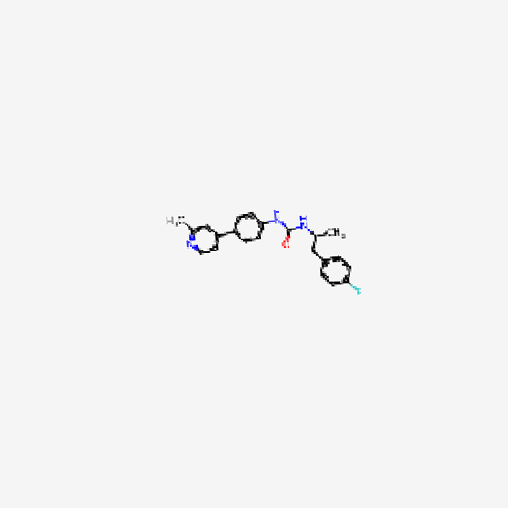 Cc1cc(-c2ccc(NC(=O)N[C@@H](C)Cc3ccc(F)cc3)cc2)ccn1